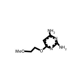 COCCOc1cc(N)nc(N)n1